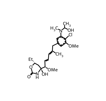 CC[C@@H]1C[C@](O)([C@@H](/C=C/C=C(\C)Cc2cc(OC)c(Cl)c(N(C)C(C)O)c2)OC)NC(=O)O1